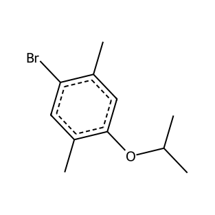 Cc1cc(OC(C)C)c(C)cc1Br